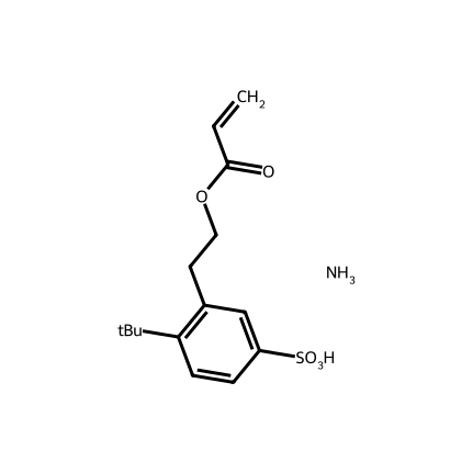 C=CC(=O)OCCc1cc(S(=O)(=O)O)ccc1C(C)(C)C.N